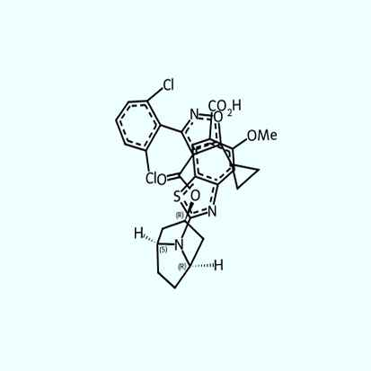 COc1cc2nc(N3[C@@H]4CC[C@H]3C[C@@H](OC(=O)c3c(-c5c(Cl)cccc5Cl)noc3C3CC3)C4)sc2cc1C(=O)O